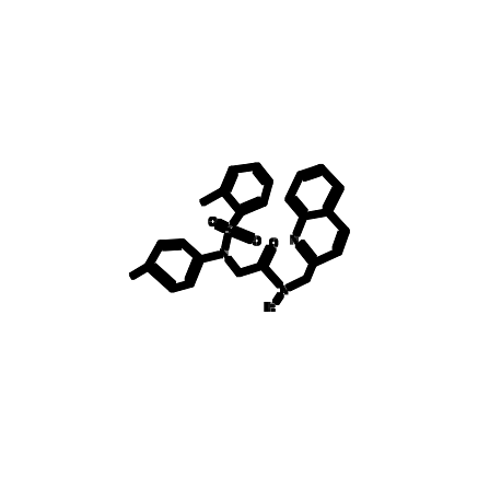 CCN(Cc1ccc2ccccc2n1)C(=O)CN(c1ccc(C)cc1)S(=O)(=O)c1ccccc1C